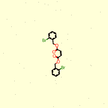 O=C(/C=C\C(=O)OCc1ccccc1Br)OCc1ccccc1Br